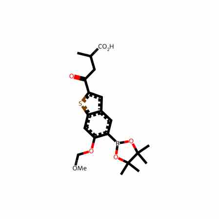 COCOc1cc2sc(C(=O)CC(C)C(=O)O)cc2cc1B1OC(C)(C)C(C)(C)O1